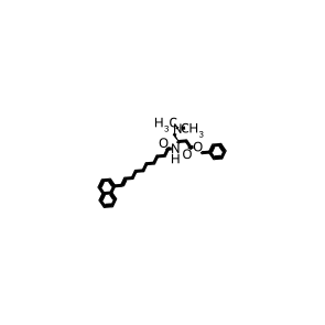 CN(C)C[C@@H](CC(=O)OCc1ccccc1)NC(=O)CCCCCCCC=Cc1cccc2ccccc12